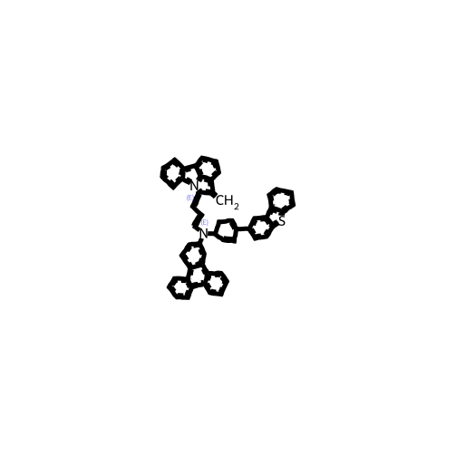 C=c1/c(=C\C=C\N(c2ccc3c4ccccc4c4ccccc4c3c2)C2C=CC(c3ccc4sc5ccccc5c4c3)=CC2)n2c3ccccc3c3cccc1c32